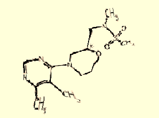 Cc1ncnc(N2CCO[C@H](CN(C)S(C)(=O)=O)C2)c1C